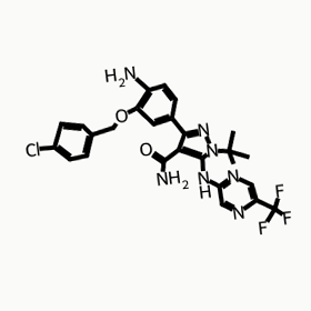 CC(C)(C)n1nc(-c2ccc(N)c(OCc3ccc(Cl)cc3)c2)c(C(N)=O)c1Nc1cnc(C(F)(F)F)cn1